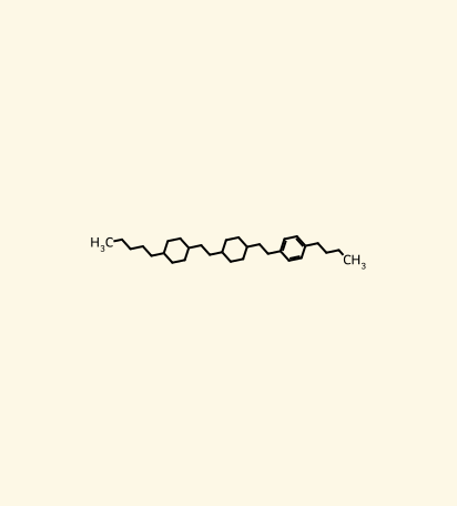 CCCCCC1CCC(CCC2CCC(CCc3ccc(CCCC)cc3)CC2)CC1